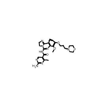 COc1c(OCCCN2CCOCC2)ccc2c1N=C(NC(=O)c1cnc(N)nc1C)N1CCN=C21